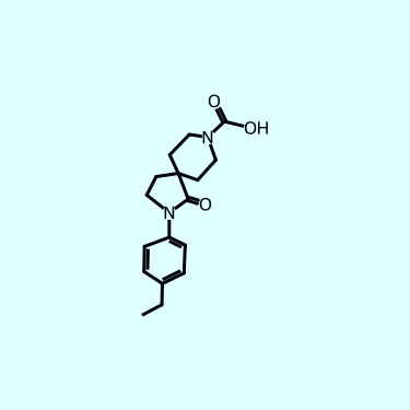 CCc1ccc(N2CCC3(CCN(C(=O)O)CC3)C2=O)cc1